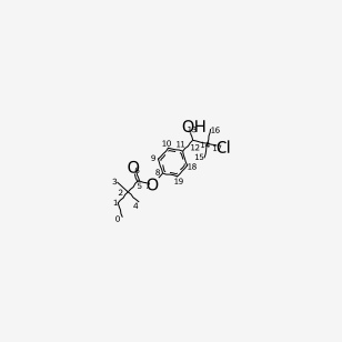 CCC(C)(C)C(=O)Oc1ccc(C(O)C(C)(C)Cl)cc1